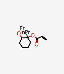 C=CC(=O)OC1(CCC)CCCCC1OCC